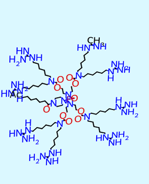 CC(=N)NCCCCCCN(CCCCCCNC(=N)N)C(=O)OCCN(CCOC(=O)N(CCCCCCNC(=N)N)CCCCCCNC(=N)N)P(=O)(N(CCOC(=O)N(CCCCCCNC(=N)N)CCCCCCNC(=N)N)CCOC(=O)N(CCCCCCNC(=N)N)CCCCCCNC(=N)N)N1CCN(C(=O)CCCCCCC(C)=O)CC1